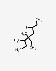 CCC(F)CC(C)(CC)C(C)CC